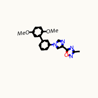 COc1ccc(OC)c(-c2cccc(-n3cnc(-c4nc(C)no4)c3)c2)c1